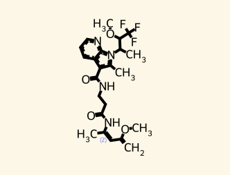 C=C(/C=C(/C)NC(=O)CCNC(=O)c1c(C)n(C(C)C(OC)C(F)(F)F)c2ncccc12)OC